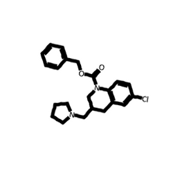 O=C(OCc1ccccc1)N1CC(CN2CCCC2)Cc2cc(Cl)ccc21